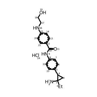 CCC1(N)CC1c1ccc(NC(=O)c2ccc(NCCO)cc2)cc1.Cl